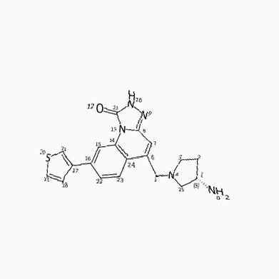 N[C@H]1CCN(Cc2cc3n[nH]c(=O)n3c3cc(-c4ccsc4)ccc23)C1